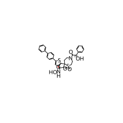 O=C(CC1(c2ccc(-c3ccc(-c4ccccc4)cc3)s2)CCN(C(=O)[C@@H](O)c2ccccc2)CCS1(=O)=O)NO